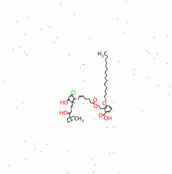 CCCCCCCCCCCCCCCCOc1cccc(C(=O)O)c1CCOC(=O)CCC/C=C\C[C@@H]1[C@@H](/C=C/C[C@H](O)C2(CC)CCC2)[C@H](O)C[C@H]1Cl